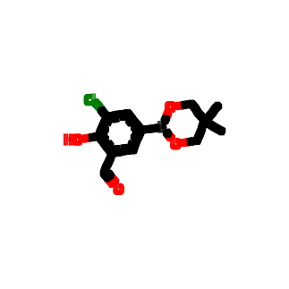 CC1(C)COB(c2cc(Cl)c(O)c(C=O)c2)OC1